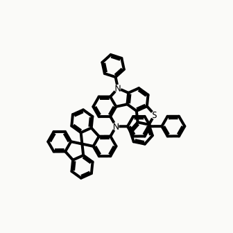 c1ccc(-c2ccc(N(c3cccc4c3-c3ccccc3C43c4ccccc4-c4ccccc43)c3cccc4c3c3c5c(ccc3n4-c3ccccc3)sc3ccccc35)cc2)cc1